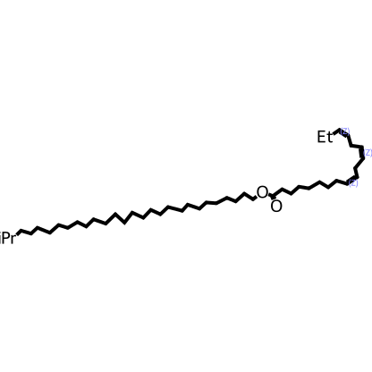 CC/C=C\C/C=C\C/C=C\CCCCCCCC(=O)OCCCCCCCCCCCCCCCCCCCCCCCCCCC(C)C